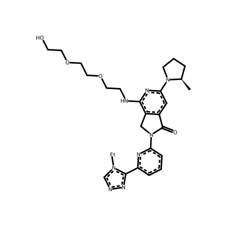 CCn1cnnc1-c1cccc(N2Cc3c(cc(N4CCC[C@H]4C)nc3NCCOCCOCCO)C2=O)n1